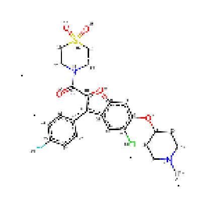 CC(C)N1CCC(Oc2cc3oc(C(=O)N4CCS(=O)(=O)CC4)c(-c4ccc(F)cc4)c3cc2Cl)CC1